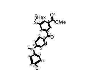 CCCCCCSc1cc(C(=O)OC)cc(C(=O)c2ccc(N(C)c3ccc(Cl)cc3)cn2)c1